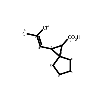 O=C(O)C1C(C=C(Cl)Cl)C12CCCC2